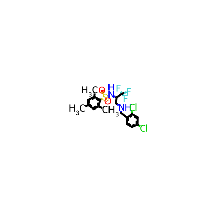 Cc1cc(C)c(S(=O)(=O)NC(CNCc2ccc(Cl)cc2Cl)C(F)(F)F)c(C)c1